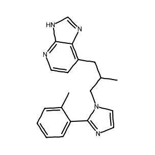 Cc1ccccc1-c1nccn1CC(C)Cc1ccnc2[nH]cnc12